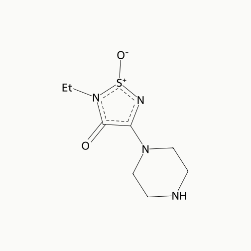 CCn1c(=O)c(N2CCNCC2)n[s+]1[O-]